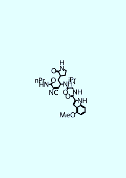 CCCNC(=O)C(C#N)=CC(CC1CCNC1=O)NC(=O)[C@H](CC(C)C)NC(=O)c1cc2c(OC)cccc2[nH]1